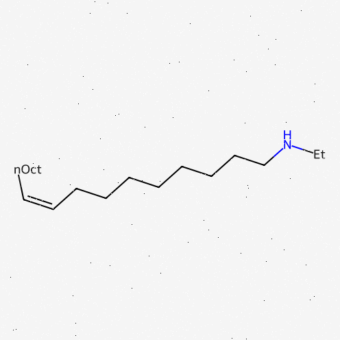 [CH2]CNCCCCCCCC/C=C\CCCCCCCC